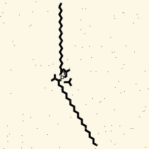 CCCCCCCCCCCCCCCCCCCCC(C(C)C)[PH](CCCCCCCCCCCCCCCCCCCC)(CC(C)C)CC(C)C